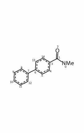 CNC(=O)c1ccc(-c2cc[c]cc2)cc1